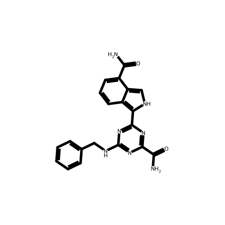 NC(=O)c1nc(NCc2ccccc2)nc(-c2[nH]cc3c(C(N)=O)cccc23)n1